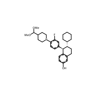 COC(OC)C1CCN(c2ccc([C@@H]3c4ccc(O)cc4CC[C@H]3C3CCCCC3)cc2F)CC1